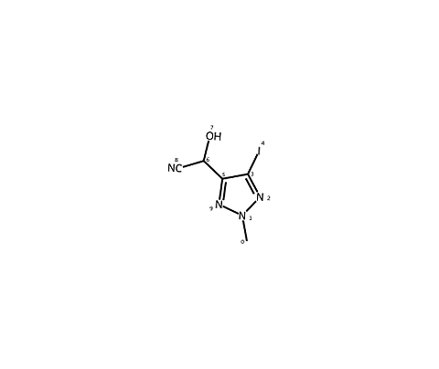 Cn1nc(I)c(C(O)C#N)n1